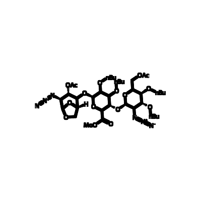 CCCCOC1C(OCCCC)[C@H](O[C@H]2OC(COC(C)=O)[C@@H](OCCCC)[C@H](OCCCC)C2N=[N+]=[N-])C(C(=O)OC)O[C@H]1OC1[C@@H]2COC(O2)[C@@H](N=[N+]=[N-])[C@@H]1OC(C)=O